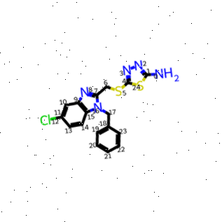 Nc1nnc(SCc2nc3cc(Cl)ccc3n2Cc2ccccc2)s1